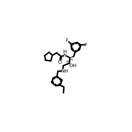 CCc1cccc(CNC[C@@H](O)[C@H](Cc2cc(F)cc(F)c2)NC(=O)CC2CCCC2)c1